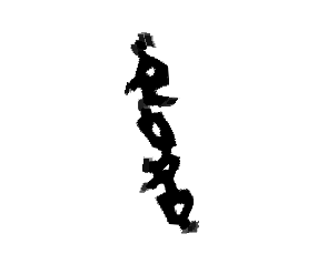 CCCC1CCC(c2ccc(C3CCC(OC(=O)c4ccc(OCC)cc4F)CC3)c(F)c2F)CC1